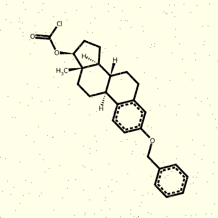 C[C@]12CC[C@@H]3c4ccc(OCc5ccccc5)cc4CC[C@H]3[C@@H]1CC[C@@H]2OC(=O)Cl